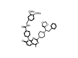 COc1ccc(CNC(=O)c2ccc(-n3c(=O)ccc4c(C)nc(N5CCN(C(Cc6ccccc6)C6=COCO6)CC5)nc43)cc2)cc1OC